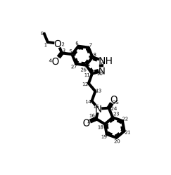 CCOC(=O)c1ccc2[nH]nc(CCCN3C(=O)c4ccccc4C3=O)c2c1